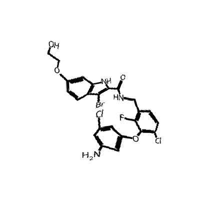 Nc1cc(Cl)cc(Oc2c(Cl)ccc(CNC(=O)c3[nH]c4cc(OCCO)ccc4c3Br)c2F)c1